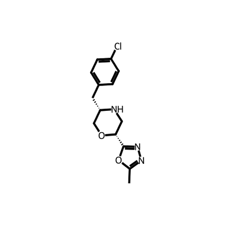 Cc1nnc([C@H]2CN[C@@H](Cc3ccc(Cl)cc3)CO2)o1